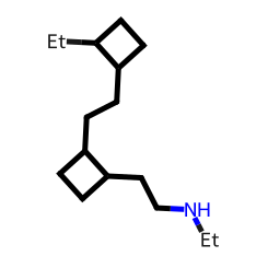 CCNCCC1CCC1CCC1CCC1CC